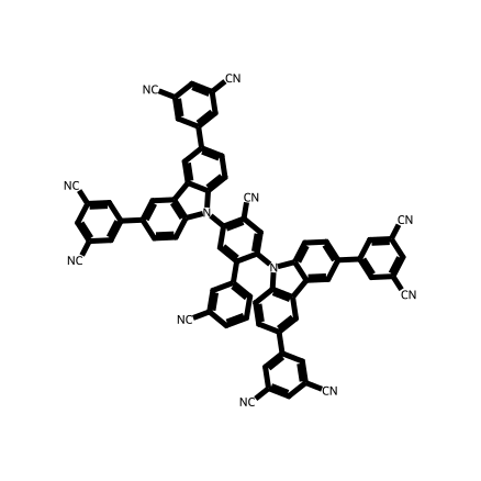 N#Cc1cc(C#N)cc(-c2ccc3c(c2)c2cc(-c4cc(C#N)cc(C#N)c4)ccc2n3-c2cc(-c3cccc(C#N)c3)c(-n3c4ccc(-c5cc(C#N)cc(C#N)c5)cc4c4cc(-c5cc(C#N)cc(C#N)c5)ccc43)cc2C#N)c1